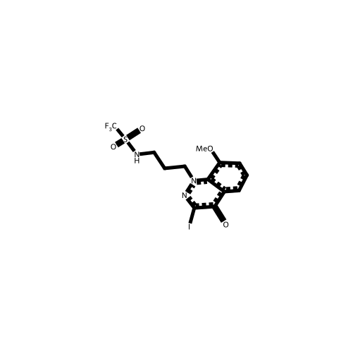 COc1cccc2c(=O)c(I)nn(CCCNS(=O)(=O)C(F)(F)F)c12